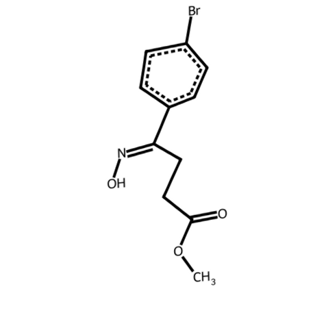 COC(=O)CC/C(=N\O)c1ccc(Br)cc1